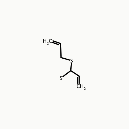 C=CCSC([S])C=C